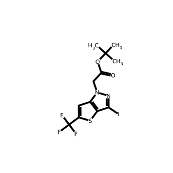 CC(C)(C)OC(=O)Cn1nc(I)c2sc(C(F)(F)F)cc21